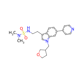 CN(C)S(=O)(=O)NCCc1cn(CC2CCOC2)c2cc(-c3ccncc3)ccc12